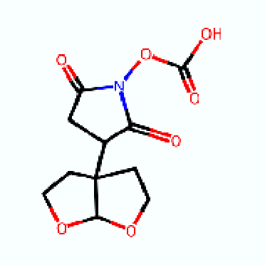 O=C(O)ON1C(=O)CC(C23CCOC2OCC3)C1=O